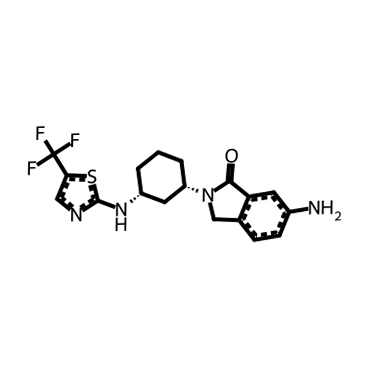 Nc1ccc2c(c1)C(=O)N([C@H]1CCC[C@@H](Nc3ncc(C(F)(F)F)s3)C1)C2